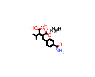 CC(C)/C(C(=O)O)=C(\Cc1ccc(C(N)=O)cc1)C(=O)O.[NaH].[NaH]